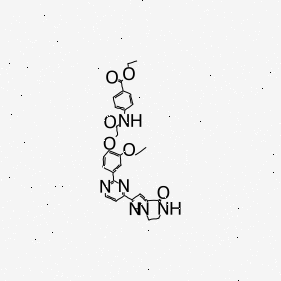 CCOC(=O)c1ccc(NC(=O)COc2ccc(-c3nccc(-c4cc5n(n4)CCNC5=O)n3)cc2OCC)cc1